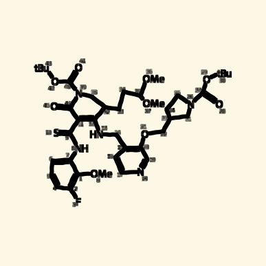 COc1c(F)cccc1NC(=S)C1=C(NCc2ccncc2OCC2CCN(C(=O)OC(C)(C)C)C2)C(CCC(OC)OC)CN(C(=O)OC(C)(C)C)C1=O